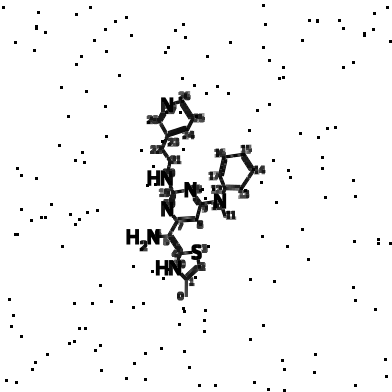 CC1=CS/C(=C(/N)c2cc(N(C)c3ccccc3)nc(NCCc3cccnc3)n2)N1